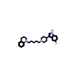 Fc1ccc2[nH]cc(C3CCN(CCCCCN4CCCc5ccccc54)CC3)c2c1